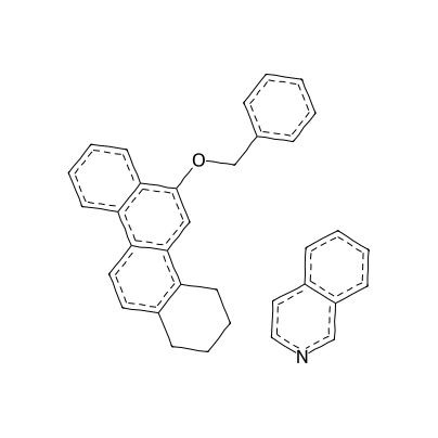 c1ccc(COc2cc3c4c(ccc3c3ccccc23)CCCC4)cc1.c1ccc2cnccc2c1